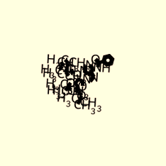 CC(C)[Si](OCO[C@H]1[C@H](n2cnc3c(NC(=O)c4ccccc4)ncnc32)O[C@@]2([SiH2]C2OC(C)(C)C)[C@H]1OC(C)(C)C)(C(C)C)C(C)C